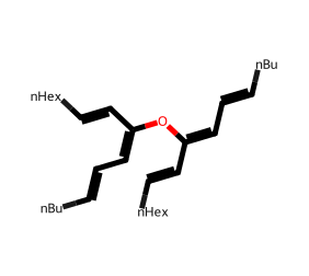 CCCCC=CC=C(C=CCCCCCC)OC(C=CCCCCCC)=CC=CCCCC